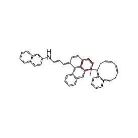 CC1(/C2=c3\cccc\c3=C\C/C=C\C=C/C2)C=CC(\C=C/C(=C\C=C\Nc2ccc3ccccc3c2)c2c3ccccc3cc3ccccc23)=CC1